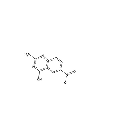 Nc1nc(O)c2cc([N+](=O)[O-])ccc2n1